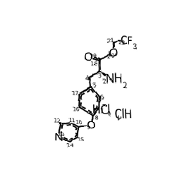 Cl.Cl.N[C@@H](Cc1ccc(Oc2ccncc2)cc1)C(=O)OCC(F)(F)F